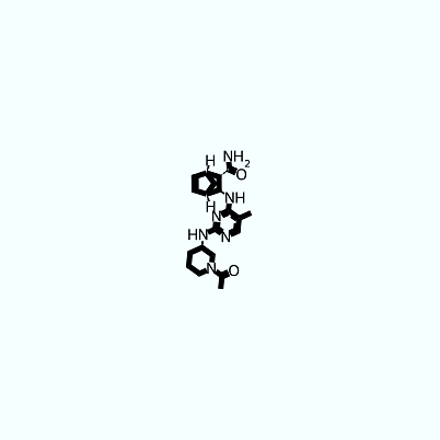 CC(=O)N1CCC[C@H](Nc2ncc(C)c(N[C@H]3[C@@H](C(N)=O)[C@@H]4C=C[C@H]3C4)n2)C1